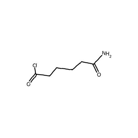 NC(=O)CCCCC(=O)Cl